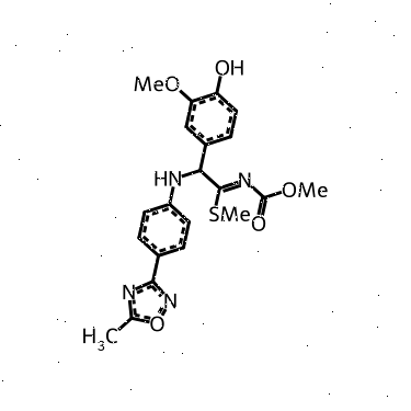 COC(=O)/N=C(\SC)C(Nc1ccc(-c2noc(C)n2)cc1)c1ccc(O)c(OC)c1